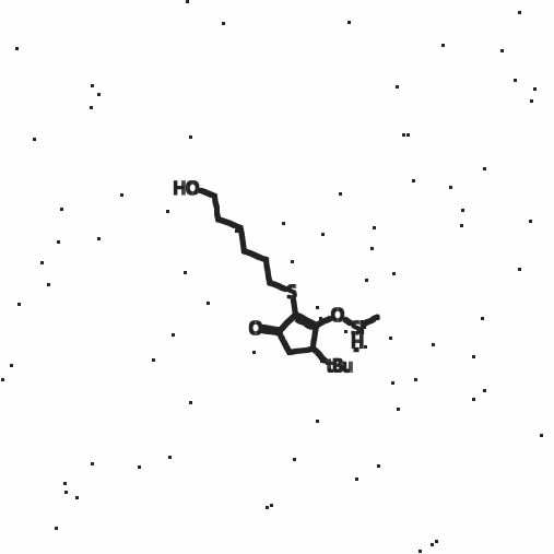 C[SiH](C)OC1=C(SCCCCCCO)C(=O)CC1C(C)(C)C